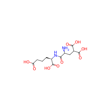 N[C@@H](CC(C(=O)O)C(=O)O)C(=O)N[C@H](CCCC(=O)O)C(=O)O